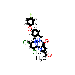 CC(=O)c1cc(C(=O)NCc2ccc(Oc3ccc(F)cc3)cc2)n(-c2ncc(Cl)cc2Cl)c1